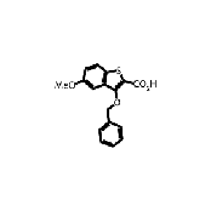 COc1ccc2sc(C(=O)O)c(OCc3ccccc3)c2c1